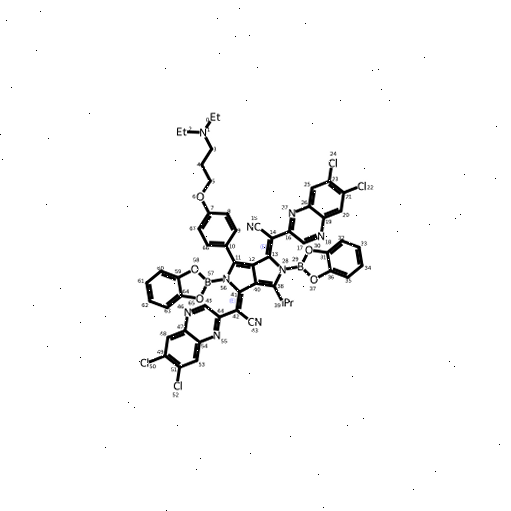 CCN(CC)CCCOc1ccc(-c2c3/c(=C(\C#N)c4cnc5cc(Cl)c(Cl)cc5n4)n(B4Oc5ccccc5O4)c(C(C)C)c3/c(=C(\C#N)c3cnc4cc(Cl)c(Cl)cc4n3)n2B2Oc3ccccc3O2)cc1